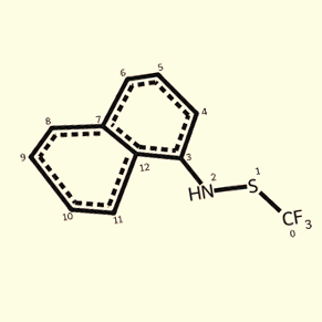 FC(F)(F)SNc1cccc2ccccc12